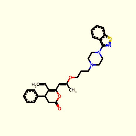 C=CC1=C(/C=C(\C)OCCCN2CCN(c3nsc4ccccc34)CC2)OC(=O)CC1c1ccccc1